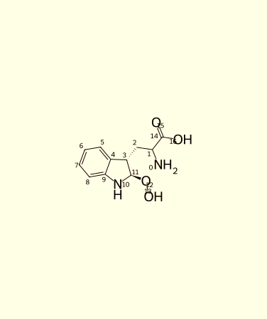 NC(C[C@H]1c2ccccc2N[C@@H]1OO)C(=O)O